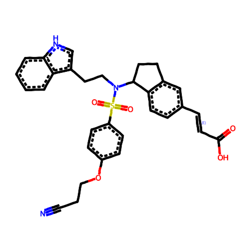 N#CCCOc1ccc(S(=O)(=O)N(CCc2c[nH]c3ccccc23)C2CCc3cc(/C=C/C(=O)O)ccc32)cc1